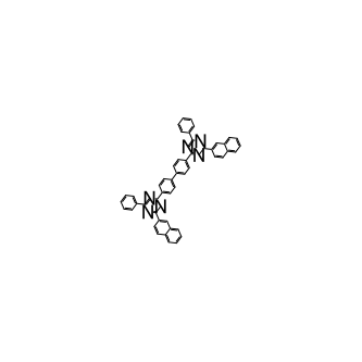 c1ccc(-c2nc(-c3ccc(-c4ccc(-c5nc(-c6ccccc6)nc(-c6ccc7ccccc7c6)n5)cc4)cc3)nc(-c3ccc4ccccc4c3)n2)cc1